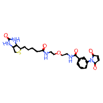 O=C(CCCCC1SCC2NC(=O)NC21)NCCOCCNC(=O)c1cccc(N2C(=O)C=CC2=O)c1